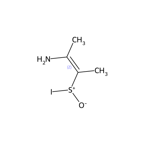 C/C(N)=C(\C)[S+]([O-])I